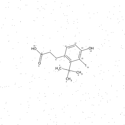 CC(C)(C)c1c(CCC(=O)O)ccc(O)c1I